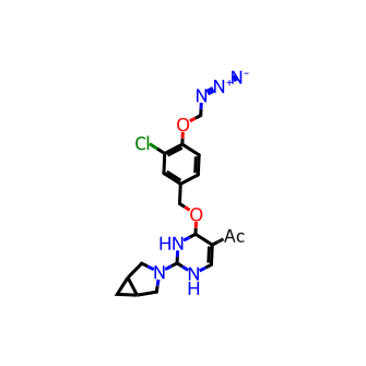 CC(=O)C1=CNC(N2CC3CC3C2)NC1OCc1ccc(OCN=[N+]=[N-])c(Cl)c1